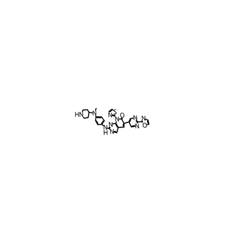 CN(c1ccc(Nc2ncc3cc(-c4cnc(-c5ncco5)nc4)c(=O)n(-c4nccs4)c3n2)cc1)C1CCNCC1